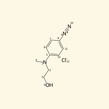 CN(CCO)c1ccc([N+]#N)cc1.[Cl-]